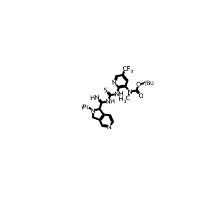 CC(C)N1Cc2cnccc2C1C(=N)NC(=S)Nc1ncc(C(F)(F)F)cc1N(C)C(=O)OC(C)(C)C